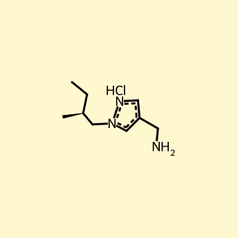 CC[C@H](C)Cn1cc(CN)cn1.Cl